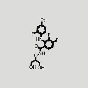 CCc1ccc(Nc2c(C(=O)NOC(CO)CO)ccc(F)c2F)c(F)c1